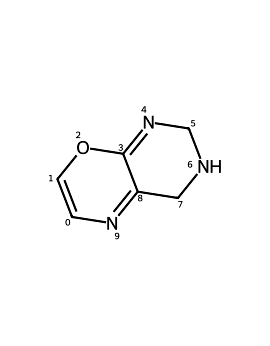 C1=COC2=NCNCC2=N1